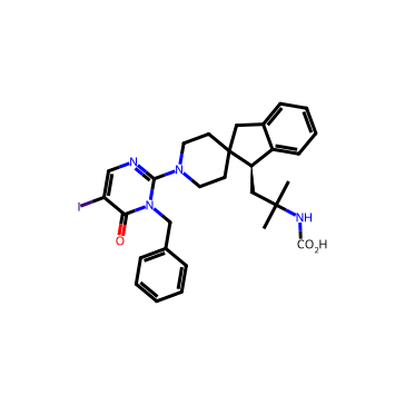 CC(C)(C[C@@H]1c2ccccc2CC12CCN(c1ncc(I)c(=O)n1Cc1ccccc1)CC2)NC(=O)O